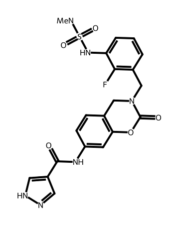 CNS(=O)(=O)Nc1cccc(CN2Cc3ccc(NC(=O)c4cn[nH]c4)cc3OC2=O)c1F